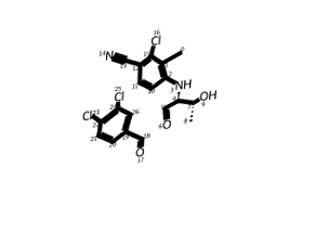 Cc1c(N[C@@H](C=O)[C@@H](C)O)ccc(C#N)c1Cl.O=Cc1ccc(Cl)c(Cl)c1